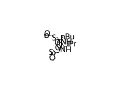 CCCCC(NC(=O)C(CC(C)C)NC(=O)Cc1csc2ccccc12)C(=O)CSCc1ccco1